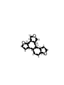 c1cc2c(ccc3c4ccoc4c4cocc4c23)o1